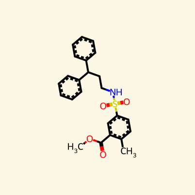 COC(=O)c1cc(S(=O)(=O)NCCC(c2ccccc2)c2ccccc2)ccc1C